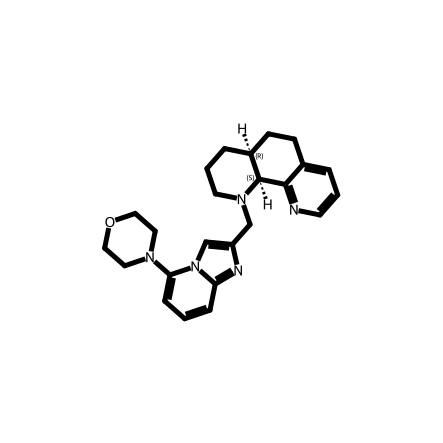 c1cnc2c(c1)CC[C@@H]1CCCN(Cc3cn4c(N5CCOCC5)cccc4n3)[C@H]21